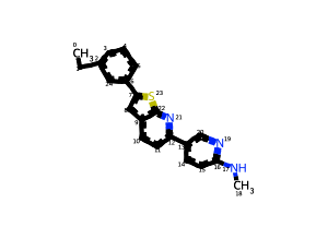 CCc1cccc(-c2cc3ccc(-c4ccc(NC)nc4)nc3s2)c1